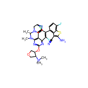 C[C@H](N1C=CN=CC1)N(C)c1nc(O[C@@H]2COC[C@@H]2N(C)C)nc2c(F)c(-c3ccc(F)c4sc(N)c(C#N)c34)c(Cl)cc12